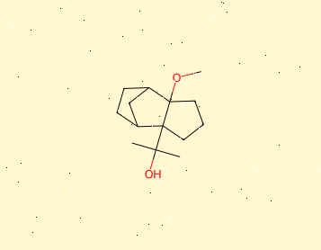 COC12CCCC1(C(C)(C)O)C1CCC2C1